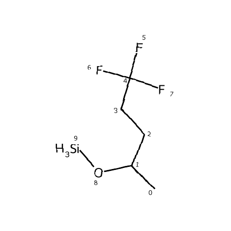 CC(CCC(F)(F)F)O[SiH3]